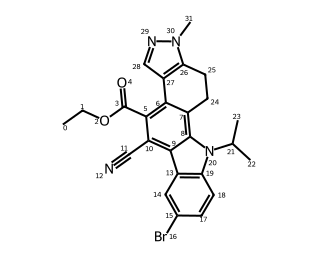 CCOC(=O)c1c2c(c3c(c1C#N)c1cc(Br)ccc1n3C(C)C)CCc1c-2cnn1C